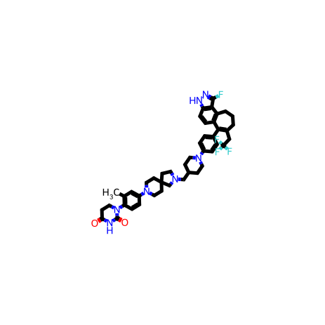 Cc1cc(N2CCC3(CCN(CC4CCN(c5ccc(C6=C(CC(F)(F)F)CCCc7c6ccc6[nH]nc(F)c76)cc5)CC4)C3)CC2)ccc1N1CCC(=O)NC1=O